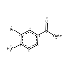 COC(=O)c1ccc(C)c(C(C)C)c1